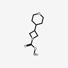 CC(C)(C)OC(=O)N1CC(C2CCOCC2)C1